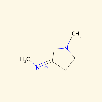 C/N=C1/CCN(C)C1